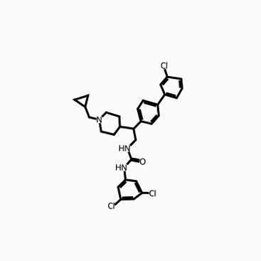 O=C(NCC(c1ccc(-c2cccc(Cl)c2)cc1)C1CCN(CC2CC2)CC1)Nc1cc(Cl)cc(Cl)c1